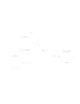 CC(C)C[C@H](NC(=O)OCc1ccccc1)C(=O)NC1CCNCC1O.Cl